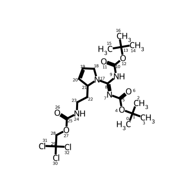 CC(C)(C)OC(=O)N=C(NC(=O)OC(C)(C)C)N1CC=CC1CCNC(=O)OCC(Cl)(Cl)Cl